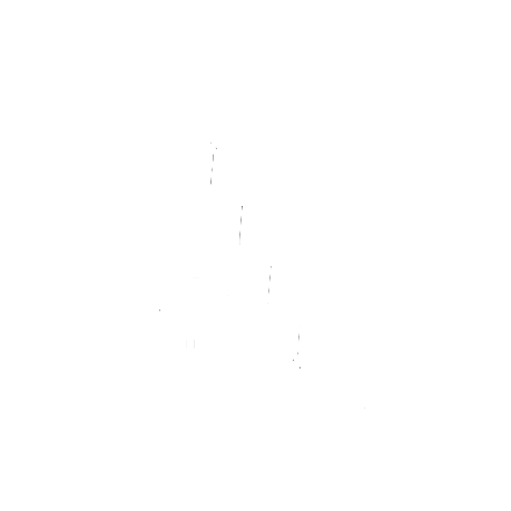 CC(CO)OO.O=C=NCCCCCCN=C=O